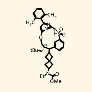 CCN(C(=O)OC)C1CC2(CC(C3c4cccc(c4)S(=O)(=O)Nc4nc(cc(-c5c(C)cccc5C)n4)OC[C@H]3CC(C)(C)C)C2)C1